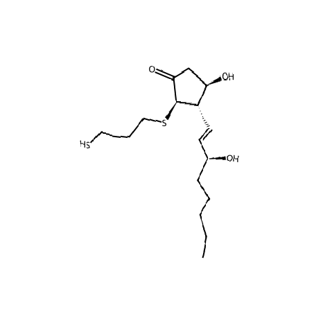 CCCCC[C@H](O)C=C[C@H]1[C@H](O)CC(=O)[C@@H]1SCCCS